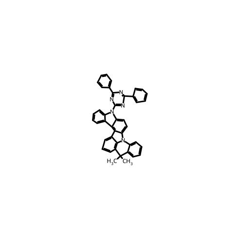 CC1(C)c2ccccc2-n2c3ccc4c(c5ccccc5n4-c4nc(-c5ccccc5)nc(-c5ccccc5)n4)c3c3cccc1c32